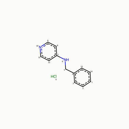 Cl.c1ccc(CNc2ccncc2)cc1